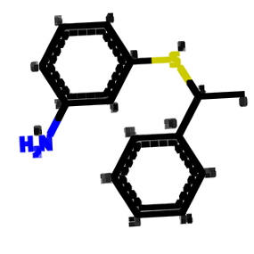 CC(Sc1cccc(N)c1)c1ccccc1